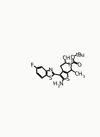 CC1Cc2c(sc(N)c2-c2nc3cc(F)ccc3s2)C(C)N1C(=O)OC(C)(C)C